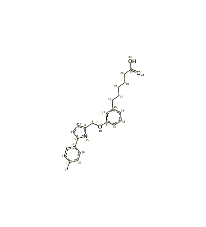 Cc1ccc(-c2csc(COc3cccc(CCCCCC(=O)O)c3)n2)cc1